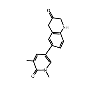 Cc1cc(-c2ccc3c(c2)CC(=O)CN3)cn(C)c1=O